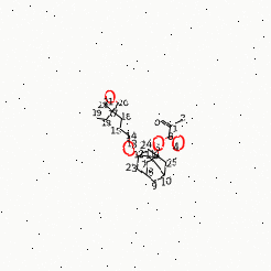 C=C(C)C(=O)OC12CC3CC(CC(OCCCC4(CC)COC4)(C3)C1)C2